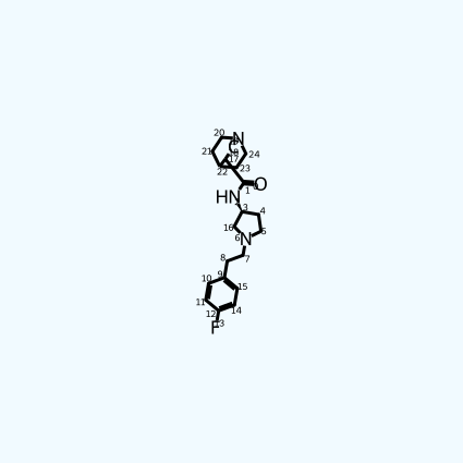 O=C(N[C@H]1CCN(CCc2ccc(F)cc2)C1)C1CN2CCC1CC2